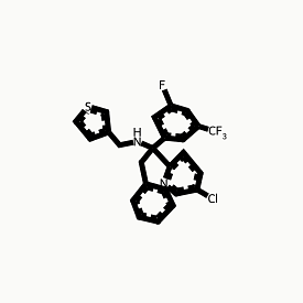 Fc1cc(C(F)(F)F)cc(C(Cc2ccccc2)(NCc2ccsc2)c2ccc(Cl)cn2)c1